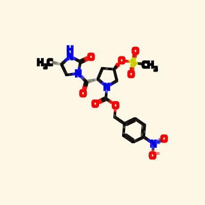 C[C@H]1CN(C(=O)[C@@H]2C[C@@H](OS(C)(=O)=O)CN2C(=O)OCc2ccc([N+](=O)[O-])cc2)C(=O)N1